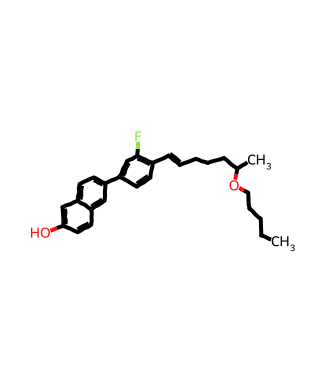 CCCCCOC(C)CCCC=Cc1ccc(-c2ccc3cc(O)ccc3c2)cc1F